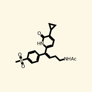 CC(=O)NCC/C=C(/c1ccc(S(C)(=O)=O)cc1)c1ccc(C2CC2)c(=O)[nH]1